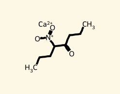 CCCC(=O)C(CCC)[N+](=O)[O-].[Ca+2]